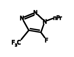 CCCn1nnc(C(F)(F)F)c1F